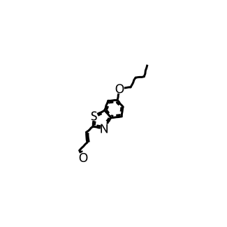 CCCCOc1ccc2nc(/C=C/C=O)sc2c1